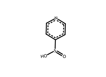 O=S(O)c1ccncc1